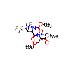 COC(=O)[C@H](COC(C)(C)C)NC(=O)[C@H](CC(C(F)(F)F)C(F)(F)F)NC(=O)OC(C)(C)C